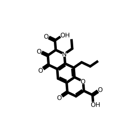 CCCc1c2c(cc3c(=O)cc(C(=O)O)oc13)C(=O)C(=O)C(C(=O)O)N2CC